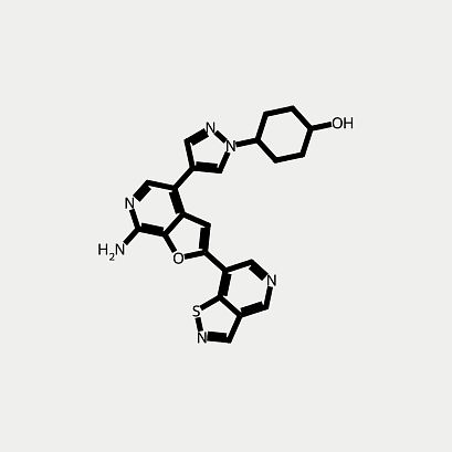 Nc1ncc(-c2cnn(C3CCC(O)CC3)c2)c2cc(-c3cncc4cnsc34)oc12